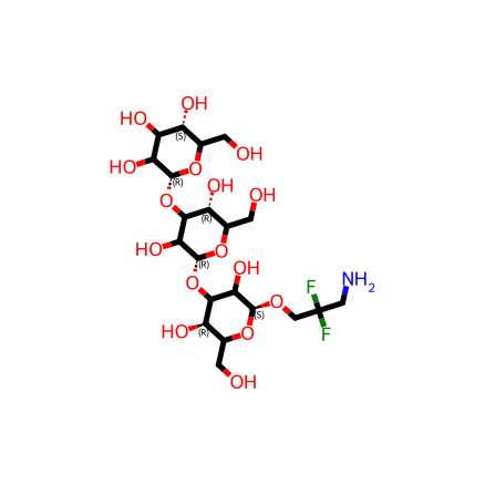 NCC(F)(F)CO[C@H]1OC(CO)[C@@H](O)C(O[C@H]2OC(CO)[C@@H](O)C(O[C@H]3OC(CO)[C@@H](O)C(O)C3O)C2O)C1O